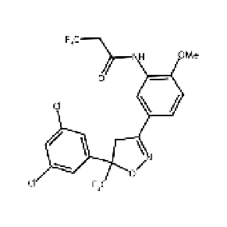 COc1ccc(C2=NOC(c3cc(Cl)cc(Cl)c3)(C(F)(F)F)C2)cc1NC(=O)CC(F)(F)F